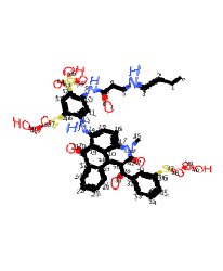 CCCCNCCC(=O)Nc1cc(Nc2ccc3c4c2C(=O)c2ccccc2-c4c(C(=O)c2cccc(SOOO)c2)c(=O)n3C)c(SOOO)cc1S(=O)(=O)O